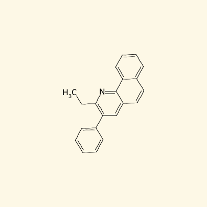 CCc1nc2c(ccc3ccccc32)cc1-c1ccccc1